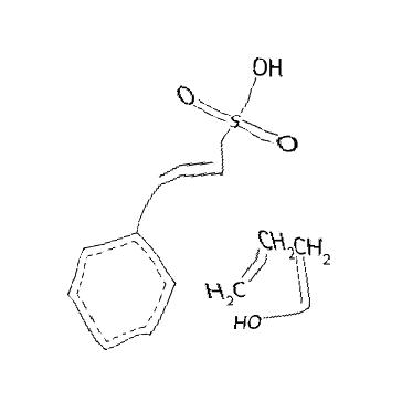 C=C.C=CO.O=S(=O)(O)C=Cc1ccccc1